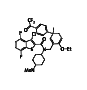 CCOC1=CCC(C)(c2ccc(C(=O)C(F)(F)F)cc2)C=C1CN(C(=O)c1sc2c(F)ccc(F)c2c1Cl)C1CCC(NC)CC1